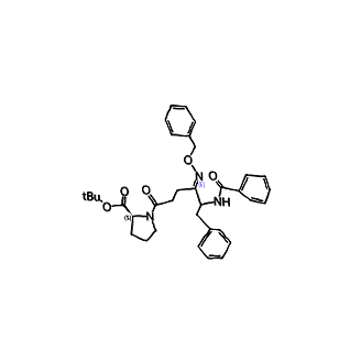 CC(C)(C)OC(=O)[C@@H]1CCCN1C(=O)CC/C(=N\OCc1ccccc1)C(Cc1ccccc1)NC(=O)c1ccccc1